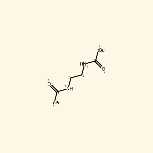 CCCC(=O)NCCNC(=O)C(C)(C)C